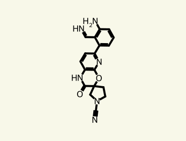 N#CN1CCC2(C1)Oc1nc(-c3cccc(N)c3C=N)ccc1NC2=O